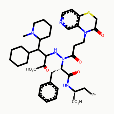 CC(C)C[C@H](NC(=O)[C@H](Cc1ccccc1)N(NC(C(=O)C(=O)O)C(C1CCCCC1)C1CCCCN1C)C(=O)CCN1C(=O)CSc2ccncc21)C(=O)O